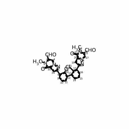 Cn1c(C=O)cn2nc(-c3cccc(-c4cccc(-c5cc6c(=O)n(C)c(C=O)cn6n5)c4Cl)c3Cl)cc2c1=O